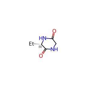 CC[C@@H]1NC(=O)CNC1=O